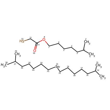 CC(C)CCCCCOC(=O)CS.CC(C)CCCC[CH2][Sn][CH2]CCCCC(C)C